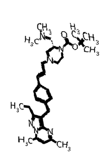 CCc1nn2c(C)cc(C)nc2c1Cc1ccc(C=CCN2CCN(C(=O)OC(C)(C)C)[C@@H](CN(C)C)C2)cc1